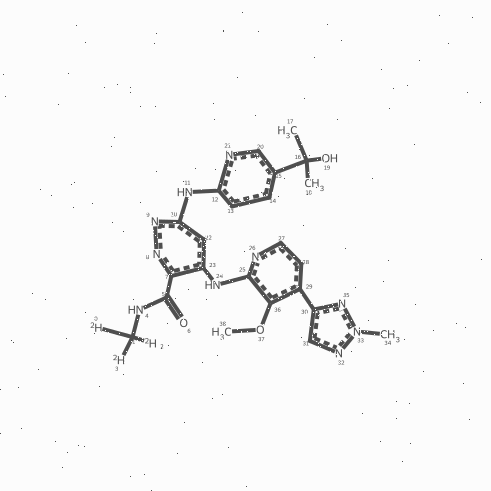 [2H]C([2H])([2H])NC(=O)c1nnc(Nc2ccc(C(C)(C)O)cn2)cc1Nc1nccc(-c2cnn(C)n2)c1OC